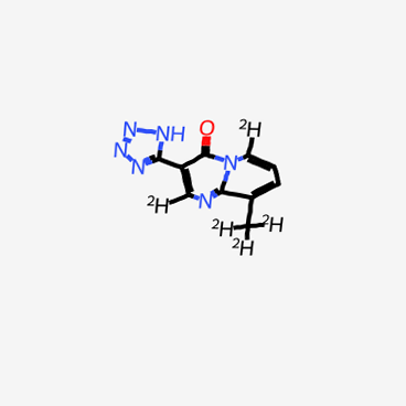 [2H]c1nc2c(C([2H])([2H])[2H])ccc([2H])n2c(=O)c1-c1nnn[nH]1